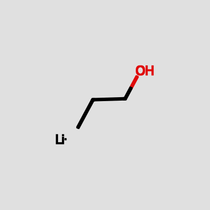 CCCO.[Li]